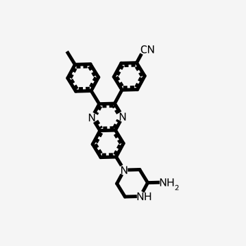 Cc1ccc(-c2nc3ccc(N4CCNC(N)C4)cc3nc2-c2ccc(C#N)cc2)cc1